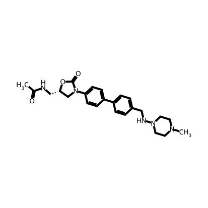 CC(=O)NC[C@H]1CN(c2ccc(-c3ccc(CNN4CCN(C)CC4)cc3)cc2)C(=O)O1